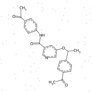 CC(=O)c1ccc(NC(=O)c2cncc(OC(C)c3ccc(C(C)=O)cc3)c2)cc1